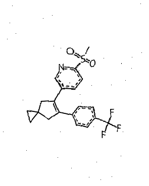 CS(=O)(=O)c1ccc(C2=C(c3ccc(C(F)(F)F)cc3)CC3(CC3)C2)cn1